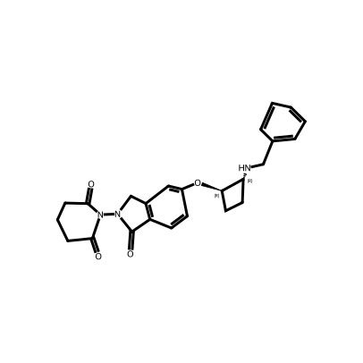 O=C1c2ccc(O[C@@H]3CC[C@H]3NCc3ccccc3)cc2CN1N1C(=O)CCCC1=O